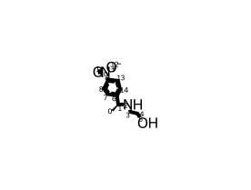 C[C@H](NCCO)c1ccc([N+](=O)[O-])cc1